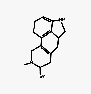 CC(C)C1CC2=C(CN1C)C1=C3C(=CCC1)NCC3C2